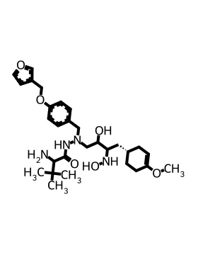 COC1=CC[C@@H](CC(NO)C(O)CN(Cc2ccc(OCc3ccoc3)cc2)NC(=O)C(N)C(C)(C)C)CC1